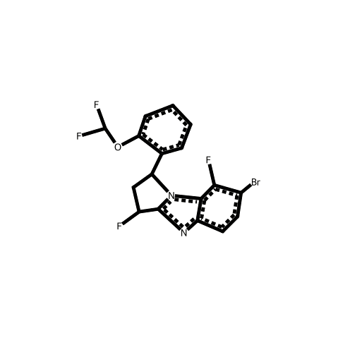 Fc1c(Br)ccc2nc3n(c12)C(c1ccccc1OC(F)F)CC3F